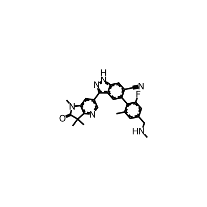 CNCc1cc(C)c(-c2cc3c(-c4cnc5c(c4)N(C)C(=O)C5(C)C)n[nH]c3cc2C#N)c(F)c1